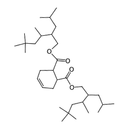 CC(C)CC(COC(=O)C1CC=CCC1C(=O)OCC(CC(C)C)C(C)CC(C)(C)C)C(C)CC(C)(C)C